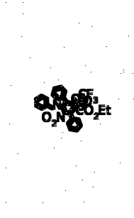 CCOC(=O)c1c(-c2ccccc2)c([N+](=O)[O-])c2c(c1OS(=O)(=O)C(F)(F)F)c1ccccc1n2Cc1ccccc1